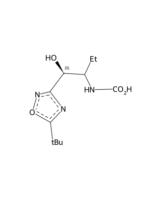 CCC(NC(=O)O)[C@H](O)c1noc(C(C)(C)C)n1